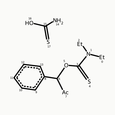 CCN(CC)C(=S)OC(C(C)=O)c1ccccc1.NC(O)=S